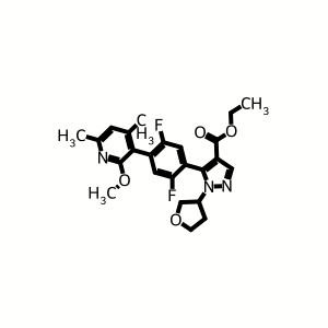 CCOC(=O)c1cnn(C2CCOC2)c1-c1cc(F)c(-c2c(C)cc(C)nc2OC)cc1F